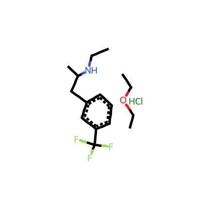 CCNC(C)Cc1cccc(C(F)(F)F)c1.CCOCC.Cl